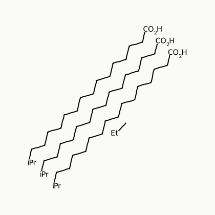 CC(C)CCCCCCCCCCCCCCC(=O)O.CC(C)CCCCCCCCCCCCCCC(=O)O.CC(C)CCCCCCCCCCCCCCC(=O)O.CCC